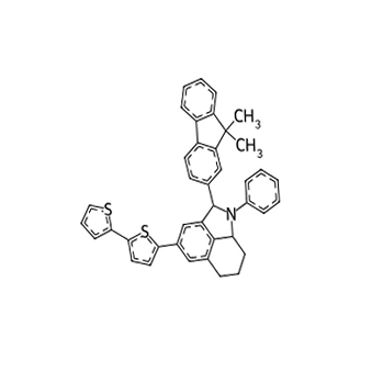 CC1(C)c2ccccc2-c2ccc(C3c4cc(-c5ccc(-c6cccs6)s5)cc5c4C(CCC5)N3c3ccccc3)cc21